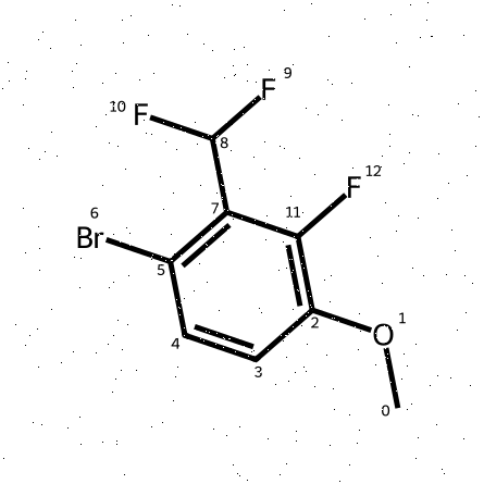 COc1ccc(Br)c(C(F)F)c1F